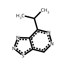 CC(C)c1nncc2snnc12